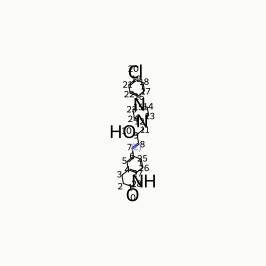 O=C1CCc2cc(/C=C/C(O)CN3CCN(c4ccc(Cl)cc4)CC3)ccc2N1